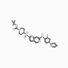 CC(C)(C)OC(=O)N1CCC(S(=O)(=O)c2ccc3cnc(Nc4ccc(-n5cccn5)cc4F)cc3n2)CC1